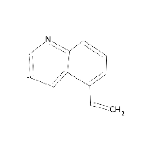 C=Cc1cccc2nc[c]cc12